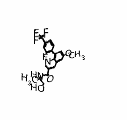 COc1cc(-c2ccc(C(F)(F)F)cc2F)c2ncc(C(=O)N[C@H](C)CO)cc2c1